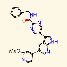 COc1cc(-c2cnc3[nH]cc(-c4cnc(C(=O)N[C@@H](C)c5ccccc5)nc4)c3c2)ccn1